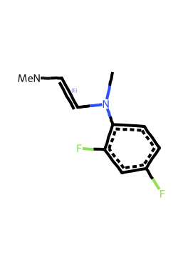 CN/C=C/N(C)c1ccc(F)cc1F